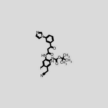 CC(C)(C)OC(=O)Nc1cc(CC#N)c(I)cc1NC(=O)CC(=O)c1cccc(-n2ccnc2)c1